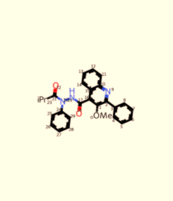 COc1c(-c2ccccc2)nc2ccccc2c1C(=O)NN(C(=O)C(C)C)c1ccccc1